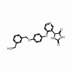 O=C1NC(=O)C(c2cnccc2Oc2ccc(OCc3cccc(CO)c3)cc2)N1